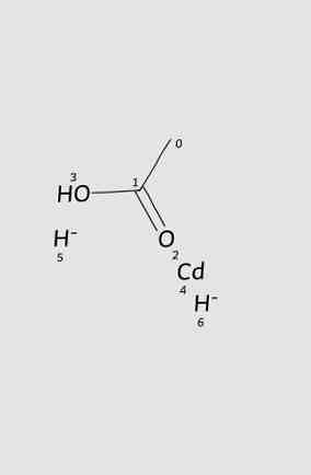 CC(=O)O.[Cd].[H-].[H-]